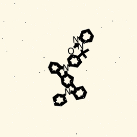 CC1(C)c2ccc(-n3c4ccccc4c4cc5c(cc43)c3ccccc3n5-c3ccccc3)cc2Oc2nc3ccccc3n21